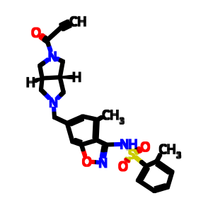 C#CC(=O)N1C[C@H]2CN(Cc3cc(C)c4c(NS(=O)(=O)c5ccccc5C)noc4c3)C[C@H]2C1